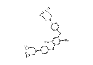 CC(C)(C)c1cc(Oc2ccc(N(CC3CO3)CC3CO3)cc2)c(C(C)(C)C)cc1Oc1ccc(N(CC2CO2)CC2CO2)cc1